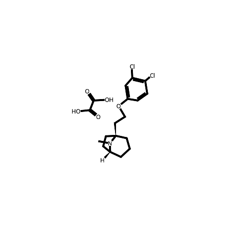 CN1[C@@H]2CCC[C@@]1(CCOc1ccc(Cl)c(Cl)c1)CC2.O=C(O)C(=O)O